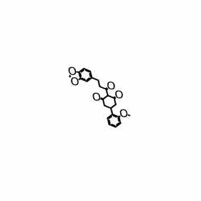 COc1ccccc1C1CC(=O)C(C(=O)CCc2ccc3c(c2)OCO3)C(=O)C1